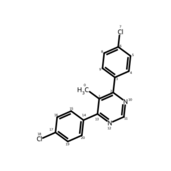 Cc1c(-c2ccc(Cl)cc2)ncnc1-c1ccc(Cl)cc1